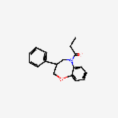 CCC(=O)N1CC(c2ccccc2)COc2c[c]ccc21